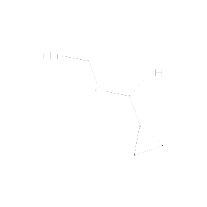 CCCCOC(O)C1CC1